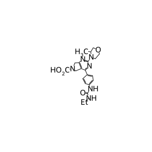 CCNC(=O)Nc1ccc(-c2nc(N3CCOCC3C)nc3c2CN(C(=O)O)C3)cc1